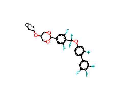 CCCOC1COC(c2cc(F)c(C(F)(F)Oc3ccc(-c4cc(F)c(F)c(F)c4)c(F)c3)c(F)c2)OC1